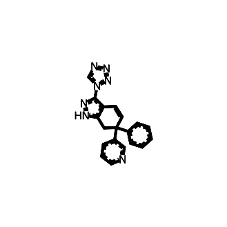 C1=CC(c2ccccc2)(c2cccnc2)Cc2[nH]nc(-n3cnnn3)c21